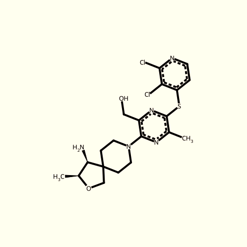 Cc1nc(N2CCC3(CC2)CO[C@@H](C)[C@H]3N)c(CO)nc1Sc1ccnc(Cl)c1Cl